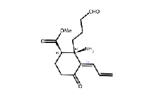 C=C/C=C1\C(=O)CC[C@@H](C(=O)OC)[C@]1(N)CCCC=O